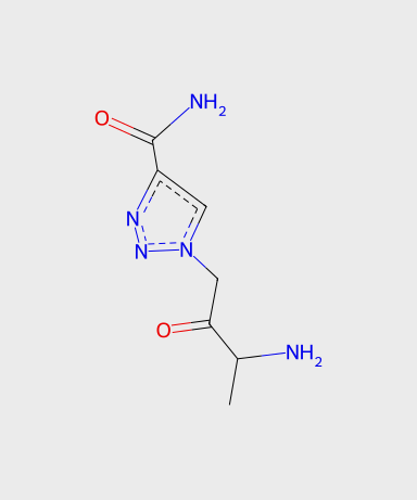 CC(N)C(=O)Cn1cc(C(N)=O)nn1